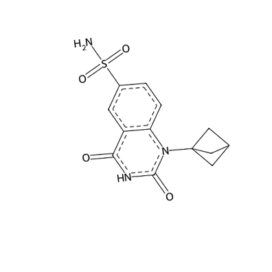 NS(=O)(=O)c1ccc2c(c1)c(=O)[nH]c(=O)n2C12CC(C1)C2